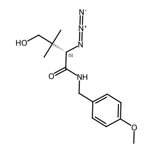 COc1ccc(CNC(=O)[C@@H](N=[N+]=[N-])C(C)(C)CO)cc1